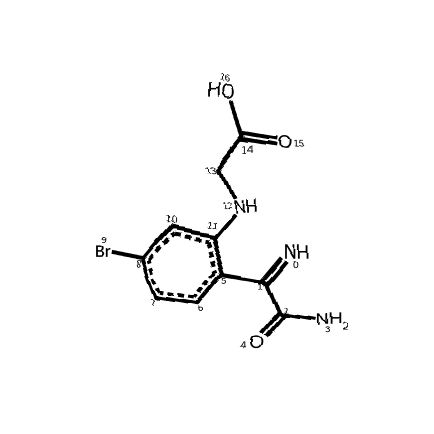 N=C(C(N)=O)c1ccc(Br)cc1NCC(=O)O